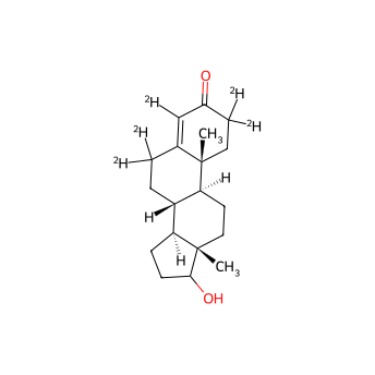 [2H]C1=C2C([2H])([2H])C[C@@H]3[C@H](CC[C@]4(C)C(O)CC[C@@H]34)[C@@]2(C)CC([2H])([2H])C1=O